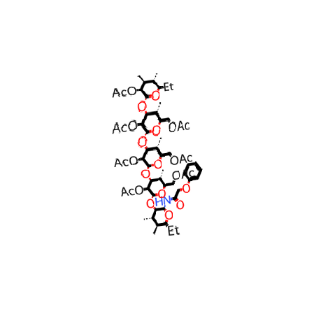 CCC1O[C@H](O[C@@H]2C(OC(C)=O)[C@@H](O[C@@H]3C(OC(C)=O)[C@@H](O[C@@H]4C(OC(C)=O)[C@@H](OC5[C@@H](C)[C@H](C)C(CC)O[C@@H]5NC(=O)COc5ccccc5)OC(COC(C)=O)[C@H]4C)OC(COC(C)=O)[C@H]3C)OC(COC(C)=O)[C@H]2C)C(OC(C)=O)[C@@H](C)[C@@H]1C